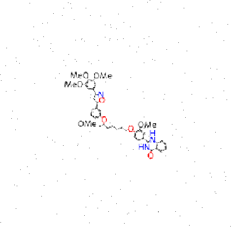 COc1cc(C2NC(=O)c3ccccc3N2)ccc1OCCCCCC(C)Oc1cc(C2CC(c3cc(OC)c(OC)c(OC)c3)=NO2)ccc1OC